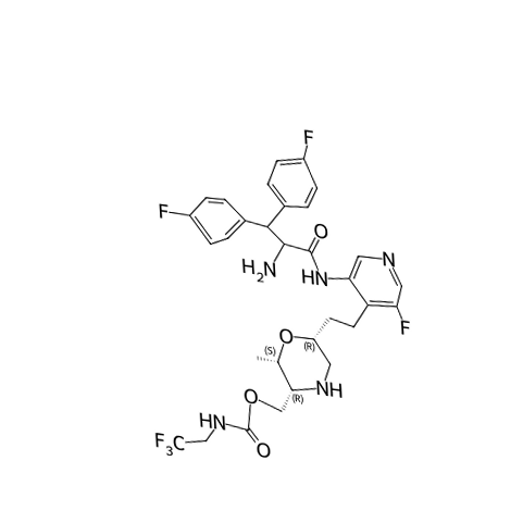 C[C@@H]1O[C@H](CCc2c(F)cncc2NC(=O)C(N)C(c2ccc(F)cc2)c2ccc(F)cc2)CN[C@@H]1COC(=O)NCC(F)(F)F